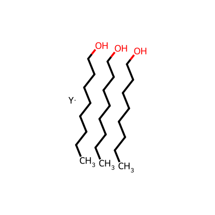 CCCCCCCCO.CCCCCCCCO.CCCCCCCCO.[Y]